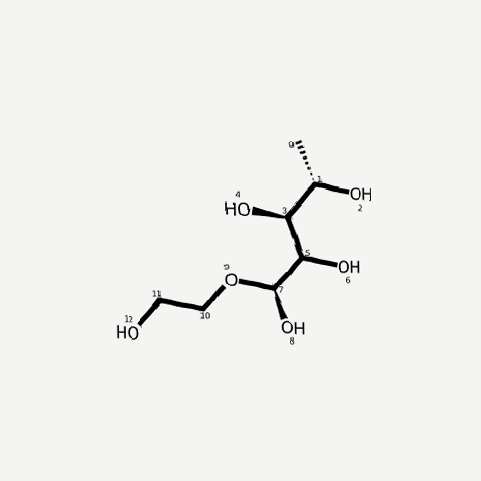 C[C@H](O)[C@H](O)C(O)[C@@H](O)OCCO